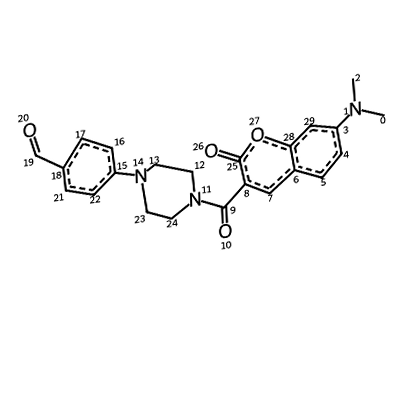 CN(C)c1ccc2cc(C(=O)N3CCN(c4ccc(C=O)cc4)CC3)c(=O)oc2c1